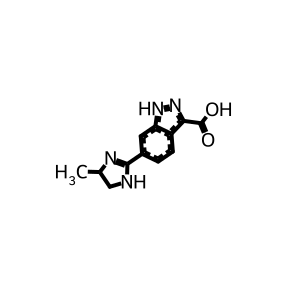 CC1CNC(c2ccc3c(C(=O)O)n[nH]c3c2)=N1